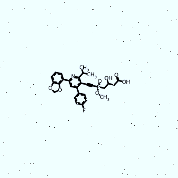 COP(=O)(C#Cc1c(-c2ccc(F)cc2)cc(-c2cccc3c2OCO3)nc1C(C)C)CC(O)CC(=O)O